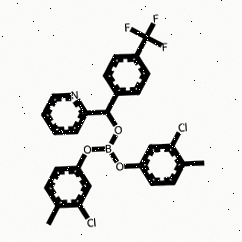 Cc1ccc(OB(Oc2ccc(C)c(Cl)c2)OC(c2ccc(C(F)(F)F)cc2)c2ccccn2)cc1Cl